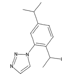 CC(C)c1ccc(C(C)I)c(-n2ccnn2)c1